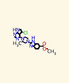 CCOC(=O)c1ccc2nc(N3CCN(c4ncnc5[nH]cc(Cl)c45)[C@H](C)C3)[nH]c2c1